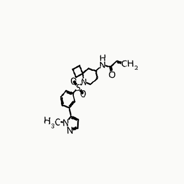 C=CC(=O)NC1CCN(S(=O)(=O)c2cccc(-c3ccnn3C)c2)C2(CCC2)C1